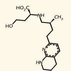 C[C@@H](CCc1ccc2c(n1)NCCC2)CN[C@@H](CCO)C(=O)O